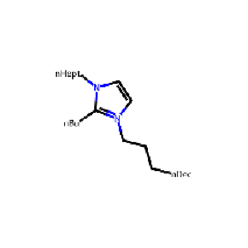 CCCCCCCCCCCCC[n+]1ccn(CCCCCCC)c1CCCC